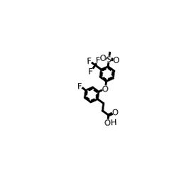 CS(=O)(=O)c1ccc(Oc2cc(F)ccc2CCC(=O)O)cc1C(F)(F)F